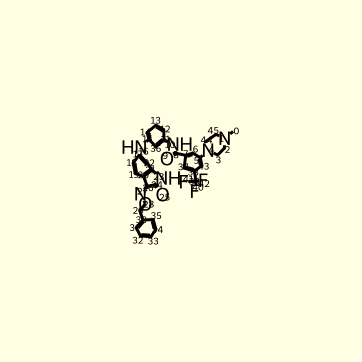 CN1CCN(c2cc(C(=O)Nc3cccc(Nc4ccc5c(c4)NC(=O)/C5=N\OCc4ccccc4)c3)cc(C(F)(F)F)c2)CC1